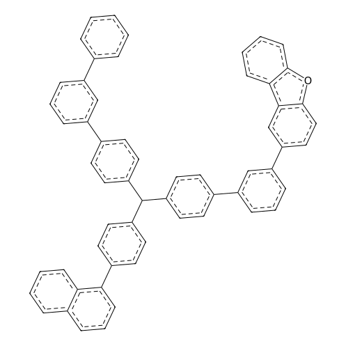 c1ccc(-c2cccc(-c3ccc(C(c4ccc(-c5cccc(-c6ccc7oc8ccccc8c7c6)c5)cc4)c4ccc(-c5cccc6ccccc56)cc4)cc3)c2)cc1